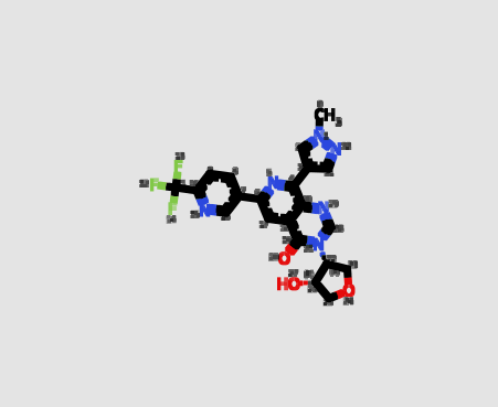 Cn1cc(-c2nc(-c3ccc(C(F)(F)F)nc3)cc3c(=O)n([C@@H]4COC[C@@H]4O)cnc23)cn1